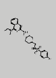 CCN(C)c1nc(NC[C@H]2CC[C@H](CNS(=O)(=O)c3ccc(Br)cc3)CC2)nc2ccccc12